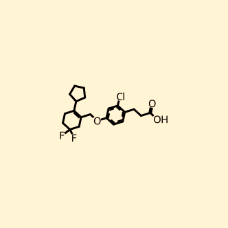 O=C(O)CCc1ccc(OCC2=C(C3CCCC3)CCC(F)(F)C2)cc1Cl